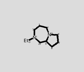 CCN1CCCN2CCCC2C1